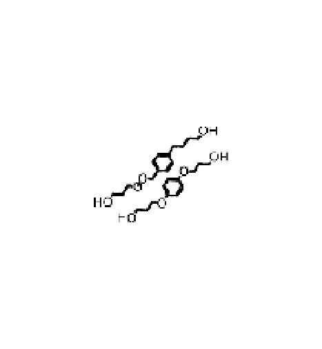 OCCCCc1ccc(COOCCCO)cc1.OCCCOc1ccc(OCCCO)cc1